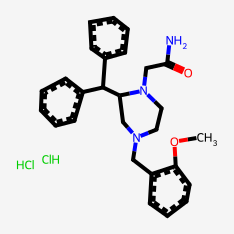 COc1ccccc1CN1CCN(CC(N)=O)C(C(c2ccccc2)c2ccccc2)C1.Cl.Cl